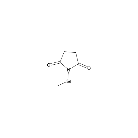 C[Se]N1C(=O)CCC1=O